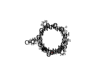 CC[C@H](C)[C@@H]1NC(=O)[C@H](CC(C)C)N(C)C(=O)C[C@@H](C(=O)N2CCCCC2)N(C)C(=O)[C@H](C(C)C)N(C)C(=O)C2(CCOCC2)NC(=O)[C@@H]2CCCN2C(=O)[C@H](CCc2ccc(Cl)cc2)NC(=O)CN(C)C(=O)[C@H](CC2CCCCC2)N(C)C(=O)CN(C)C(=O)CN(C)C1=O